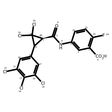 O=C(O)c1cc(NC(=O)[C@H]2C(c3cc(Cl)c(Cl)c(Cl)c3)C2(Cl)Cl)ccc1F